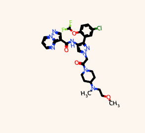 COCCN(C)C1CCN(C(=O)Cn2cc(NC(=O)c3cnn4cccnc34)c(-c3cc(Cl)ccc3OC(F)F)n2)CC1